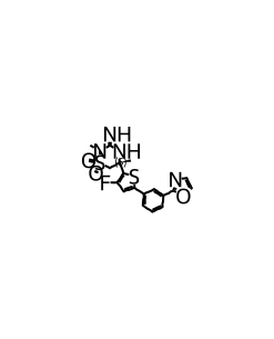 CN1C(=N)N[C@](C)(c2sc(-c3cccc(-c4ncco4)c3)cc2F)CS1(=O)=O